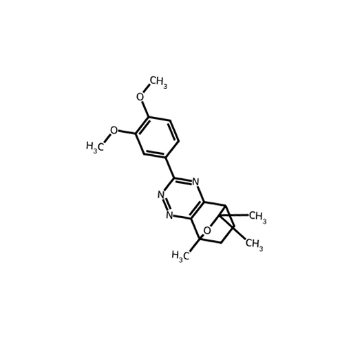 COc1ccc(-c2nnc3c(n2)C2CCC3(C)OC2(C)C)cc1OC